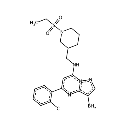 Bc1cnn2c(NCC3CCCN(S(=O)(=O)CC)C3)cc(-c3ccccc3Cl)nc12